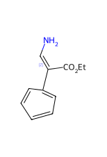 CCOC(=O)/C(=C\N)c1ccccc1